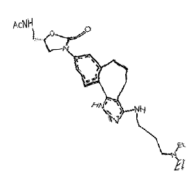 CCN(CC)CCCNc1n[nH]c2c1CCCc1cc(N3C[C@H](CNC(C)=O)OC3=O)ccc1-2